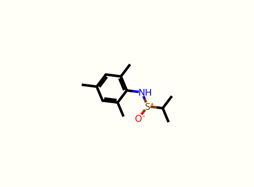 Cc1cc(C)c(N[S+]([O-])C(C)C)c(C)c1